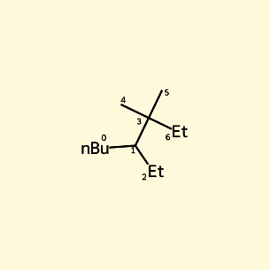 CCCCC(CC)C(C)(C)CC